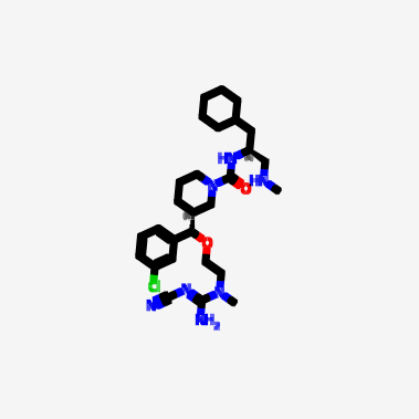 CNC[C@H](CC1CCCCC1)NC(=O)N1CCC[C@@H](C(OCCN(C)C(N)=NC#N)c2cccc(Cl)c2)C1